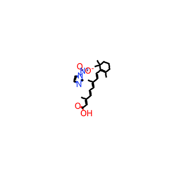 CC1=C(/C=C/C(C)=C/C=C/C(C)=C/C(=O)O)C(C)(C)CCC1.O=[N+]([O-])n1ccnc1